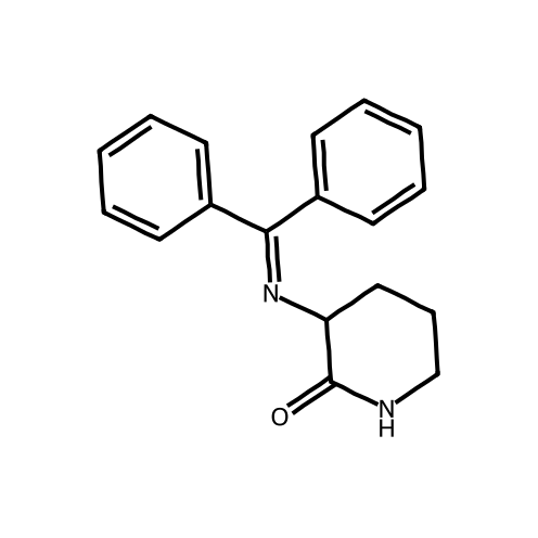 O=C1NCCCC1N=C(c1ccccc1)c1ccccc1